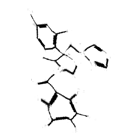 CC1N(C(=O)c2c(F)c(F)c(F)c(F)c2F)CO[C@@]1(Cn1cncn1)c1ccc(F)cc1F